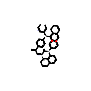 C=C(/C=C\C(=C)N(c1ccccc1)c1cccc2c1[C@H](C)CC=C2)c1ccc(N(C(/C=C\C)=C/C)c2cccc3c2CCC=C3)cc1